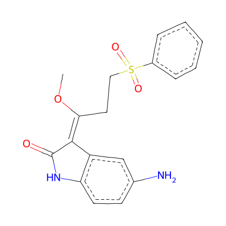 CO/C(CCS(=O)(=O)c1ccccc1)=C1\C(=O)Nc2ccc(N)cc21